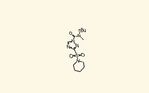 CCCCN(C)C(=O)n1cnc(S(=O)(=O)N2CCCCC2)n1